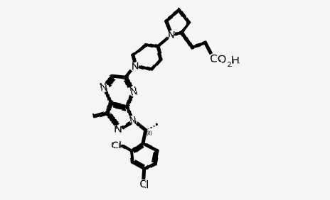 Cc1nn([C@H](C)c2ccc(Cl)cc2Cl)c2nc(N3CCC(N4CCCC4CCC(=O)O)CC3)cnc12